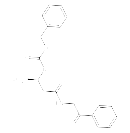 CCOC(=O)[C@H](CC(=O)NCC(=O)c1ccccc1)NC(=O)OCc1ccccc1